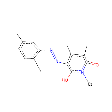 CCn1c(O)c(N=Nc2cc(C)ccc2C)c(C)c(C)c1=O